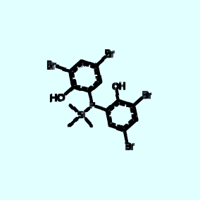 C[Si](C)(C)P(c1cc(Br)cc(Br)c1O)c1cc(Br)cc(Br)c1O